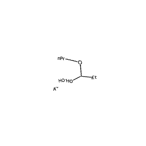 CCCOC(O)CC.[K+].[OH-]